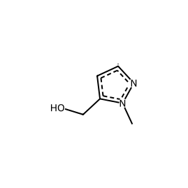 Cn1n[c]cc1CO